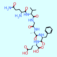 CC(C)[C@H](NC(=O)[C@@H](N)CCC(N)=O)C(=O)NCC(=O)N[C@@H](C)C(=O)N[C@@H](Cc1ccccc1)C(=O)N[C@@H](CCC(=O)O)C(=O)O